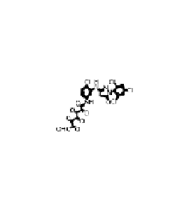 O=CC(=O)C(=O)C(=O)C(=O)C(=O)C(=O)Nc1ccc(Cl)c(NC2=NN(c3c(Cl)cc(Cl)cc3Cl)C(=O)C2)c1